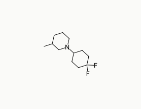 CC1CCCN(C2CCC(F)(F)CC2)C1